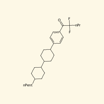 CCCCCC1CCC(C2CCC(c3ccc(C(=O)C(F)(F)CCC)cc3)CC2)CC1